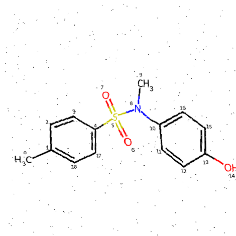 Cc1ccc(S(=O)(=O)N(C)c2ccc(O)cc2)cc1